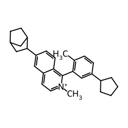 Cc1ccc(C2CCCC2)cc1-c1c2ccc(C3CC4CCC3C4)cc2cc[n+]1C